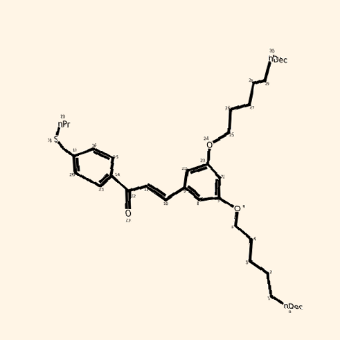 CCCCCCCCCCCCCCCOc1cc(/C=C/C(=O)c2ccc(SCCC)cc2)cc(OCCCCCCCCCCCCCCC)c1